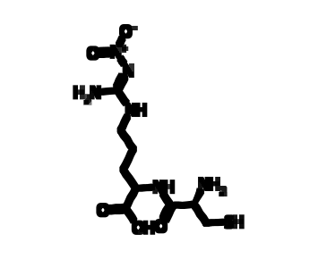 N/C(=N\[N+](=O)[O-])NCCCC(NC(=O)[C@@H](N)CS)C(=O)O